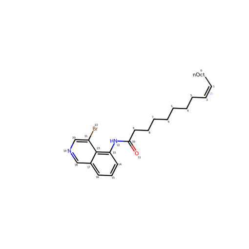 CCCCCCCC/C=C\CCCCCCCC(=O)Nc1cccc2cncc(Br)c12